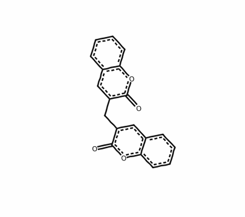 O=c1oc2ccccc2cc1Cc1cc2ccccc2oc1=O